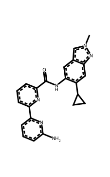 Cn1cc2cc(NC(=O)c3cccc(-c4cccc(N)n4)n3)c(C3CC3)cc2n1